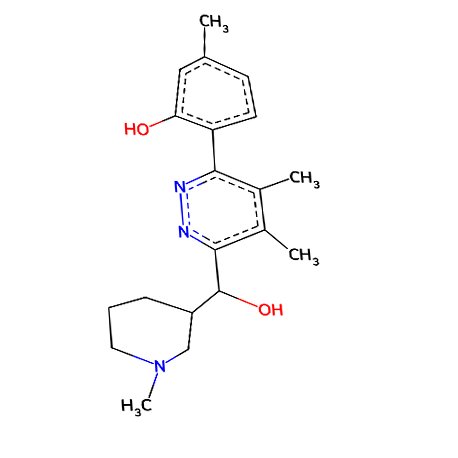 Cc1ccc(-c2nnc(C(O)C3CCCN(C)C3)c(C)c2C)c(O)c1